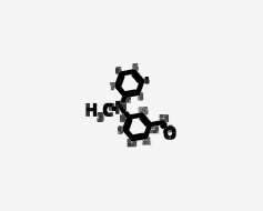 CN(c1ccccc1)c1cccc(C=O)c1